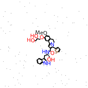 COc1cc2c(cc1OCC(O)CO)-c1cc(C(=O)N[C@@H](CO)Cc3c[nH]c4ccccc34)c(-c3cccs3)n1CC2